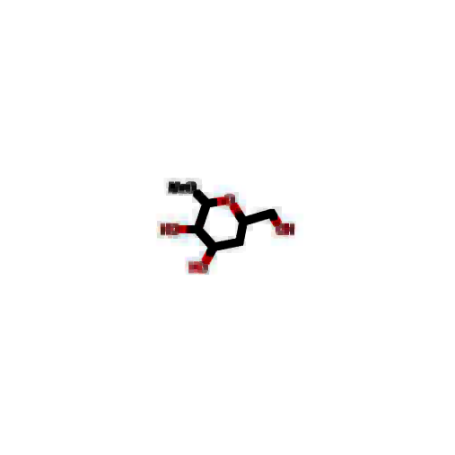 COC1OC(CO)CC(O)C1O